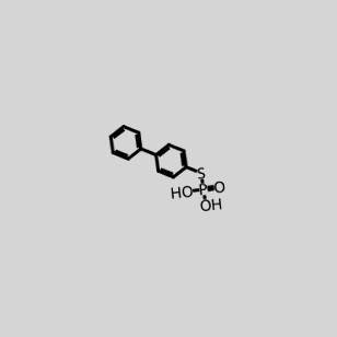 O=P(O)(O)Sc1ccc(-c2ccccc2)cc1